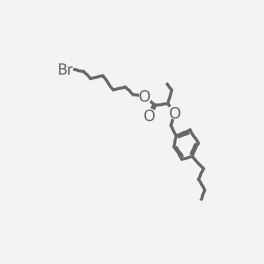 CCCCc1ccc(COC(CC)C(=O)OCCCCCCBr)cc1